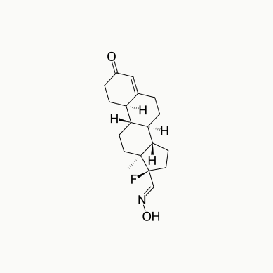 C[C@]12CC[C@H]3[C@@H](CCC4=CC(=O)CC[C@@H]43)[C@@H]1CC[C@]2(F)/C=N/O